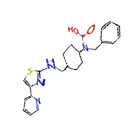 O=C(O)N(Cc1ccccc1)C1CCC(CNc2nc(-c3ccccn3)cs2)CC1